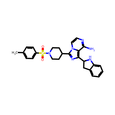 Cc1ccc(S(=O)(=O)N2CCC(c3nc(C4Cc5ccccc5N4)c4c(N)nccn34)CC2)cc1